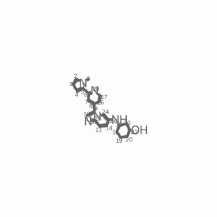 Cn1cccc1-c1cc(-c2cnc3ccc(NC4CCCC(O)C4)cn23)ccn1